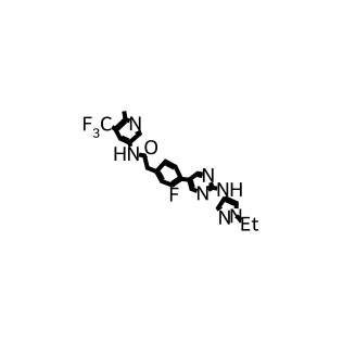 CCn1cc(Nc2ncc(-c3ccc(CC(=O)Nc4cnc(C)c(C(F)(F)F)c4)cc3F)cn2)cn1